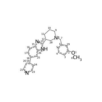 COc1cccc(CN2CCCC(c3nc4ccc(-c5ccncc5)cc4[nH]3)C2)c1